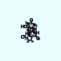 CN1C(=O)N(C)[C@]2(O)C[C@@H]3[C@@H](NC(=O)c4ccc(Cl)n43)[C@H]12